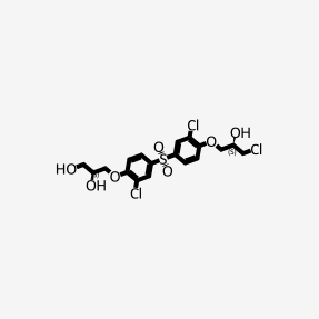 O=S(=O)(c1ccc(OC[C@H](O)CCl)c(Cl)c1)c1ccc(OC[C@@H](O)CO)c(Cl)c1